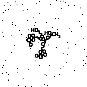 CC(O)COCC(COCCCO)(COCCC(=O)ON1C(=O)CCC1=O)COCCC(=O)ON1C(=O)CCC1=O